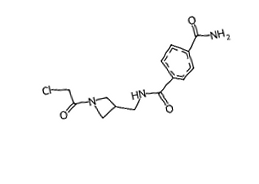 NC(=O)c1ccc(C(=O)NCC2CN(C(=O)CCl)C2)cc1